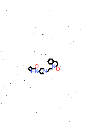 O=C(NC1CCN(CCCN2C(=O)CCc3ccccc32)CC1)C1CCC1